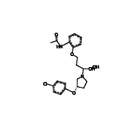 CC(=O)Nc1ccccc1OCCC(O)N1CC[C@H](Oc2ccc(Cl)cc2)C1.Cl